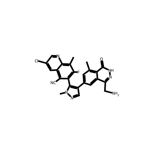 Cc1c(F)c(-c2c(-c3cc(C)c4c(=O)[nH]nc(CN)c4c3)cnn2C)c(C#N)c2cc(Cl)cnc12